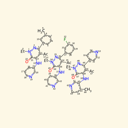 CCn1nc(-c2cccc(C)c2)c(C(C)=O)c(Nc2cccnc2)c1=O.CCn1nc(-c2cccc(F)c2)c(C(C)=O)c(Nc2cccnc2)c1=O.CCn1nc(-c2ccncc2)c(C(C)=O)c(Nc2cnccc2C)c1=O